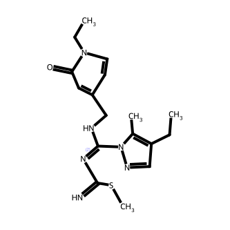 CCc1cnn(/C(=N\C(=N)SC)NCc2ccn(CC)c(=O)c2)c1C